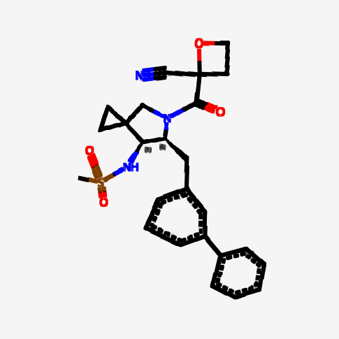 CS(=O)(=O)N[C@@H]1[C@H](Cc2cccc(-c3ccccc3)c2)N(C(=O)C2(C#N)CCO2)CC12CC2